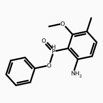 COc1c(C)ccc(N)c1[PH](=O)Oc1ccccc1